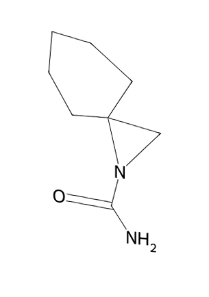 NC(=O)N1CC12CCCCC2